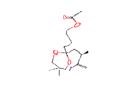 C=C(I)[C@H](C)CC1(CCCOC(C)=O)OCC(C)(C)CO1